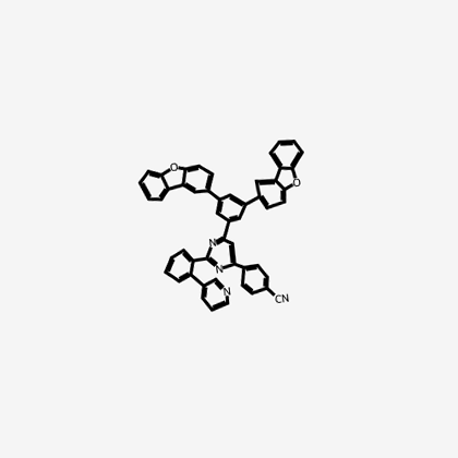 N#Cc1ccc(-c2cc(-c3cc(-c4ccc5oc6ccccc6c5c4)cc(-c4ccc5oc6ccccc6c5c4)c3)nc(-c3ccccc3-c3cccnc3)n2)cc1